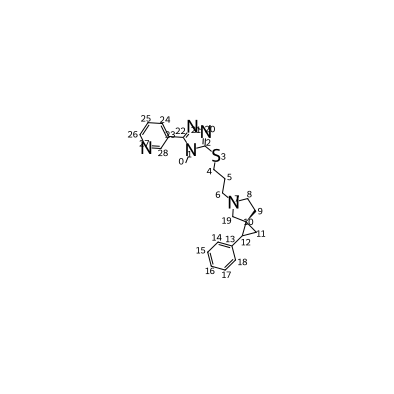 Cn1c(SCCCN2CC[C@]3(CC3c3ccccc3)C2)nnc1-c1cccnc1